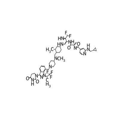 CC1CC(N/C=C(/NC(=O)c2coc(-c3ccnc(NCC4CC4)c3)n2)C(=N)C(F)F)CCC1CN(C)C1CCN(Cc2cccc3c(N4CCC(=O)NC4=O)nn(C(C)C(F)(F)F)c23)CC1